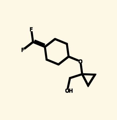 OCC1(OC2CCC(=C(F)F)CC2)CC1